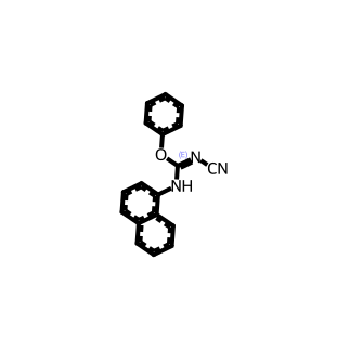 N#C/N=C(\Nc1cccc2ccccc12)Oc1ccccc1